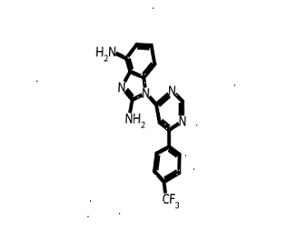 Nc1cccc2c1nc(N)n2-c1cc(-c2ccc(C(F)(F)F)cc2)ncn1